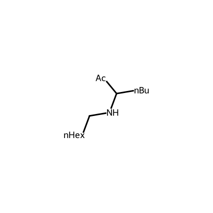 CCCCCCCNC(CCCC)C(C)=O